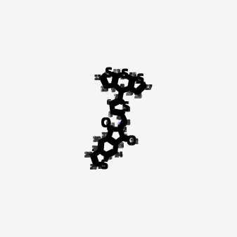 O=C1/C(=C\c2ccc(C3c4ccsc4Sc4sccc43)s2)C(=O)c2cc3sccc3cc21